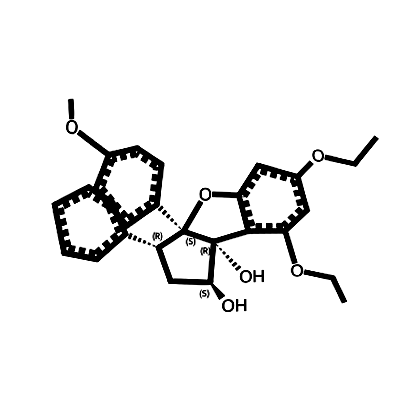 CCOc1cc(OCC)c2c(c1)O[C@]1(c3ccc(OC)cc3)[C@@H](c3ccccc3)C[C@H](O)[C@]21O